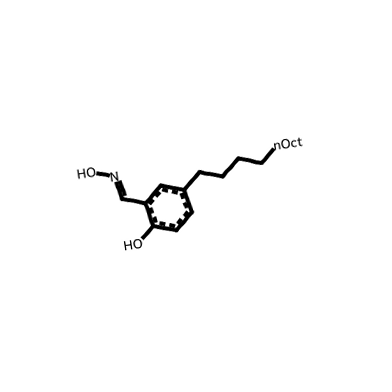 CCCCCCCCCCCCc1ccc(O)c(/C=N/O)c1